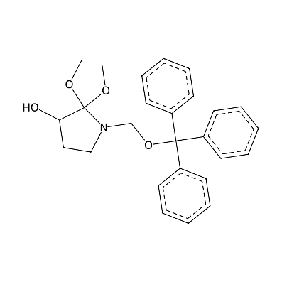 COC1(OC)C(O)CCN1COC(c1ccccc1)(c1ccccc1)c1ccccc1